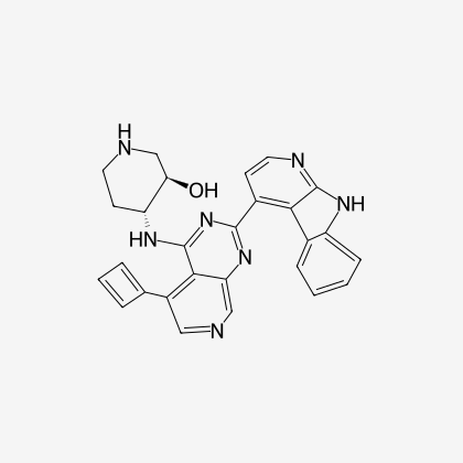 O[C@@H]1CNCC[C@H]1Nc1nc(-c2ccnc3[nH]c4ccccc4c23)nc2cncc(C3=CC=C3)c12